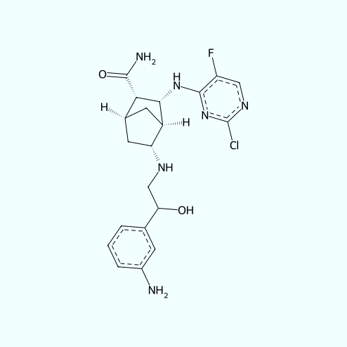 NC(=O)[C@H]1[C@H]2C[C@@H]([C@H]1Nc1nc(Cl)ncc1F)[C@H](NCC(O)c1cccc(N)c1)C2